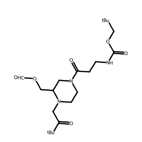 CC(C)(C)COC(=O)NCCC(=O)N1CCN(CC(=O)C(C)(C)C)C(COC=O)C1